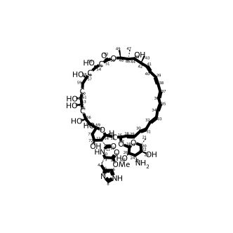 COC(=O)[C@H](Cc1c[nH]cn1)NC(=O)[C@H]1[C@@H]2CC(OC3O[C@H](C)[C@@H](O)[C@H](N)[C@@H]3O)/C=C/C=C/C=C/C=C/C=C/C=C/C=C/[C@H](C)[C@@H](O)[C@@H](C)[C@H](C)OC(=O)C[C@H](O)C[C@H](O)CC[C@@H](O)[C@H](O)C[C@H](O)C[C@](O)(C[C@@H]1O)O2